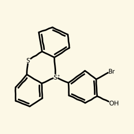 Oc1ccc([S+]2c3ccccc3Sc3ccccc32)cc1Br